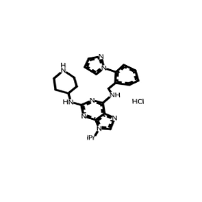 CC(C)n1cnc2c(NCc3ccccc3-n3cccn3)nc(NC3CCNCC3)nc21.Cl